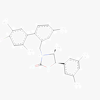 Cc1cc([C@H]2OC(=O)N(Cc3cc(C)ccc3-c3cc(C(C)C)c(F)cc3C)[C@H]2C)cc(C(F)(F)F)c1